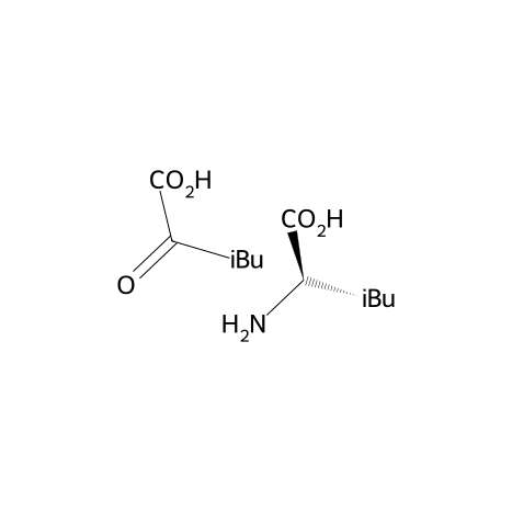 CCC(C)C(=O)C(=O)O.CC[C@@H](C)[C@@H](N)C(=O)O